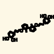 Cc1c(OCCCN2CC[C@H](O)[C@@H](O)C2)cccc1-c1cccc(OCCCN2CC[C@H](O)[C@@H](O)C2)c1C